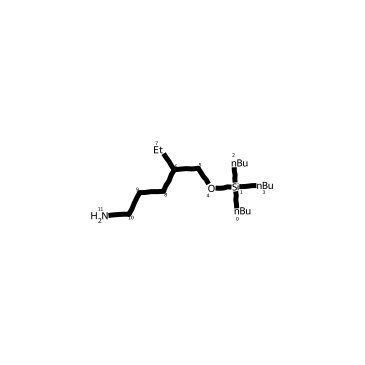 CCCC[Si](CCCC)(CCCC)OCC(CC)CCCN